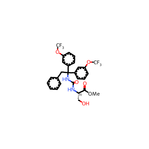 COC(=O)[C@H](CO)NC(=O)NC(Cc1ccccc1)(c1cccc(OC(F)(F)F)c1)c1cccc(OC(F)(F)F)c1